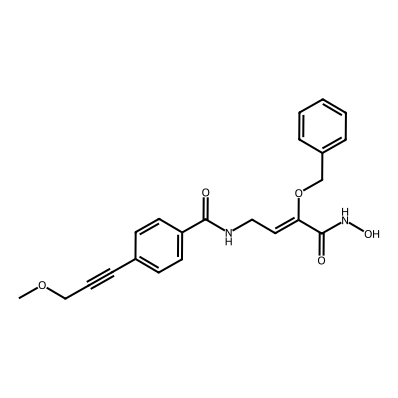 COCC#Cc1ccc(C(=O)NC/C=C(\OCc2ccccc2)C(=O)NO)cc1